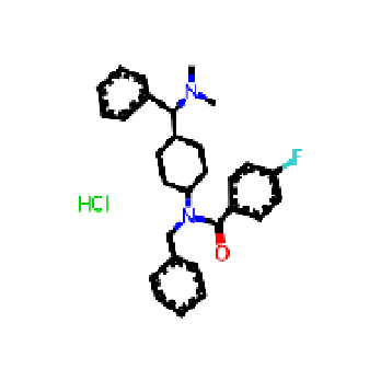 CN(C)C(c1ccccc1)C1CCC(N(Cc2ccccc2)C(=O)c2ccc(F)cc2)CC1.Cl